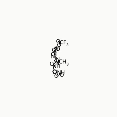 Cc1nc(C(=O)NCc2ccc3c(c2)NC(=O)CO3)cc(C2=NO[C@H]([C@H]3CO[C@H](COC(=O)C(F)(F)F)CO3)C2)n1